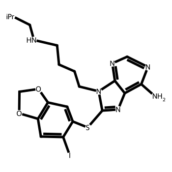 CC(C)CNCCCCn1c(Sc2cc3c(cc2I)OCO3)nc2c(N)ncnc21